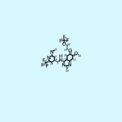 C=Nc1cc(CNc2nc(C)nc3cc(OC)c(OCCOC(F)(F)F)cc23)cc(C(F)(F)F)n1